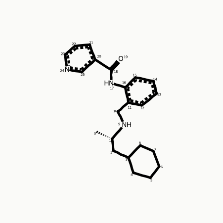 C[C@@H](CC1CCCCC1)NCc1ccccc1NC(=O)c1cccnc1